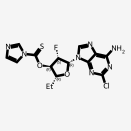 CC[C@H]1O[C@@H](n2cnc3c(N)nc(Cl)nc32)[C@@H](F)[C@@H]1OC(=S)n1ccnc1